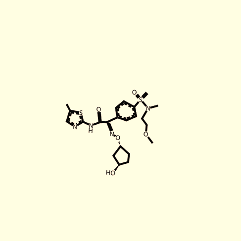 C=S(=O)(c1ccc(/C(=N\O[C@@H]2CC[C@@H](O)C2)C(=O)Nc2ncc(C)s2)cc1)N(C)CCOC